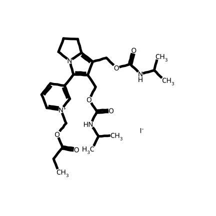 CCC(=O)OC[n+]1cccc(-c2c(COC(=O)NC(C)C)c(COC(=O)NC(C)C)c3n2CCC3)c1.[I-]